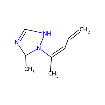 C=C/C=C(/C)N1NC=NC1C